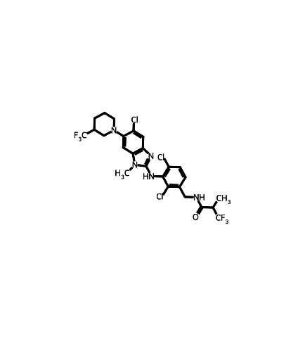 CC(C(=O)NCc1ccc(Cl)c(Nc2nc3cc(Cl)c(N4CCCC(C(F)(F)F)C4)cc3n2C)c1Cl)C(F)(F)F